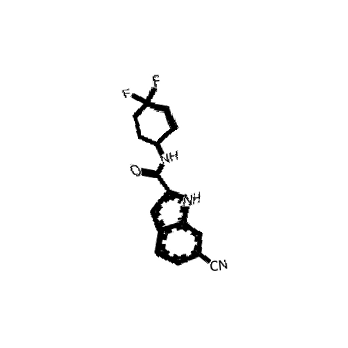 N#Cc1ccc2cc(C(=O)NC3CCC(F)(F)CC3)[nH]c2c1